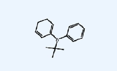 CC(C)(C)N(C1=CCCC=C1)c1ccccc1